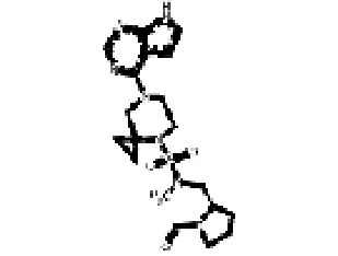 CN(C[C@H]1CCCN1C=O)S(=O)(=O)N1CCN(c2ncnc3[nH]ccc23)CC12CC2